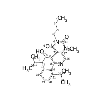 CCCCn1c(=O)c2c(C(O)CC(C)C)c(-c3ccccc3C(C)C)ncc2n(C)c1=O